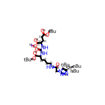 CCC[CH2][Sn]([CH2]CCC)([CH2]CCC)[c]1cn(CC(=O)NCCCCC(NC(=O)NC(CCC(=O)OC(C)(C)C)C(=O)OI)C(=O)OC(C)(C)C)nn1